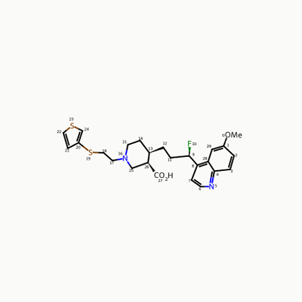 COc1ccc2nccc([C@H](F)CC[C@@H]3CCN(CCSc4ccsc4)C[C@@H]3C(=O)O)c2c1